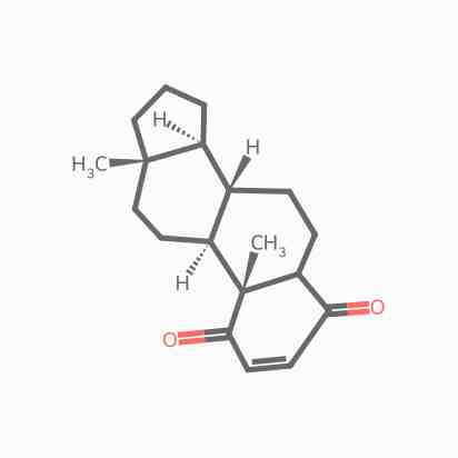 C[C@@]12CCC[C@H]1[C@@H]1CCC3C(=O)C=CC(=O)[C@]3(C)[C@H]1CC2